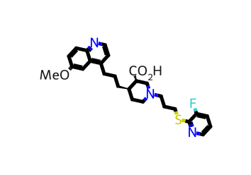 COc1ccc2nccc(CCC[C@@H]3CCN(CCCSc4ncccc4F)C[C@@H]3C(=O)O)c2c1